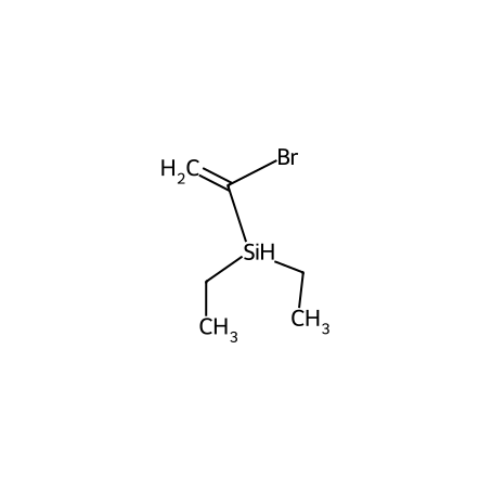 C=C(Br)[SiH](CC)CC